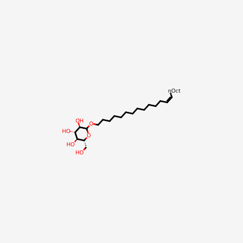 CCCCCCCC/C=C\CCCCCCCCCCCCOC1O[C@H](CO)[C@@H](O)[C@H](O)[C@H]1O